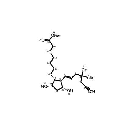 C#CCC(O)(CC=C[C@@H]1[C@@H](CCCCOCC(=O)OC)[C@@H](O)C[C@H]1O)CCCC